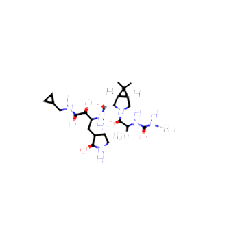 CC(C)(C)NC(=O)NC(C(=O)N1C[C@H]2[C@@H]([C@H]1C(=O)NC(CC1CCNC1=O)C(=O)C(=O)NCC1CC1)C2(C)C)C(C)(C)C